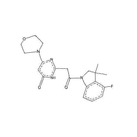 CC1(C)CN(C(=O)Cc2nc(N3CCOCC3)cc(=O)[nH]2)c2cccc(F)c21